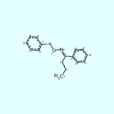 CCC/C(=N\OCc1ccccc1)c1ccccc1